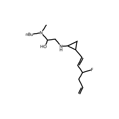 C=CCC(F)/C=C/C1CC1NCC(O)N(C)CCCC